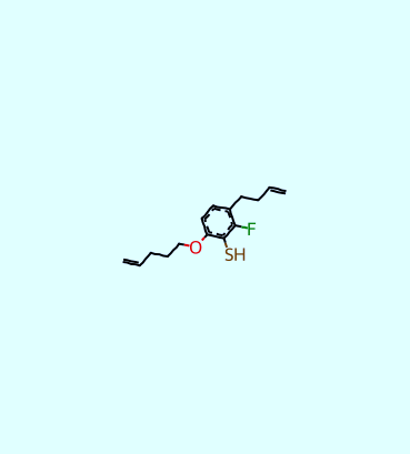 C=CCCCOc1ccc(CCC=C)c(F)c1S